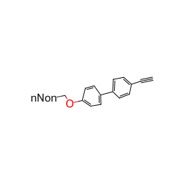 C#Cc1ccc(-c2ccc(OCCCCCCCCCC)cc2)cc1